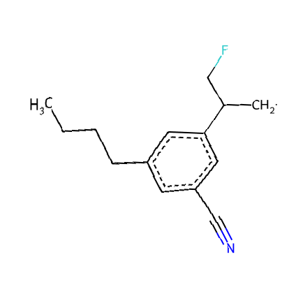 [CH2]C(CF)c1cc(C#N)cc(CCCC)c1